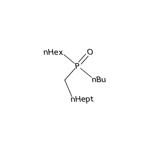 CCCCCCCCP(=O)(CCCC)CCCCCC